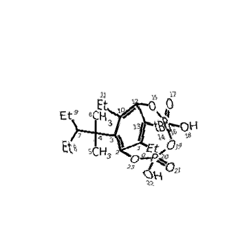 CCc1c2c(C(C)(C)C(CC)CC)c(CC)c(c1C(C)(C)C)OP(=O)(O)OP(=O)(O)O2